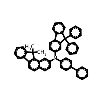 CC1(C)c2ccccc2-c2ccc3ccc(N(c4ccc(-c5ccccc5)cc4)c4ccc5c(c4)C(c4ccccc4)(c4ccccc4)c4ccccc4-5)cc3c21